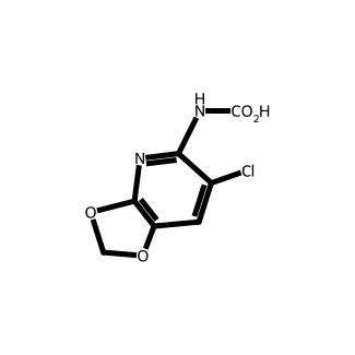 O=C(O)Nc1nc2c(cc1Cl)OCO2